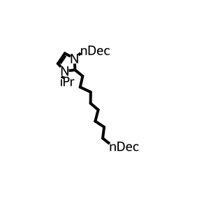 CCCCCCCCCCCCCCCCCCC1N(CCCCCCCCCC)C=CN1C(C)C